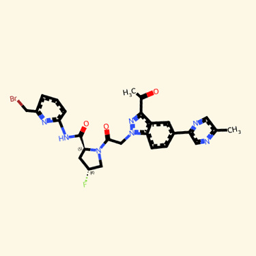 CC(=O)c1nn(CC(=O)N2C[C@H](F)C[C@H]2C(=O)Nc2cccc(CBr)n2)c2ccc(-c3cnc(C)cn3)cc12